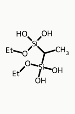 CCO[Si](O)(O)C(C)[Si](O)(O)OCC